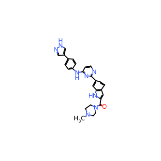 CN1CCN(C(=O)c2cc3ccc(-c4nccc(Nc5ccc(-c6cn[nH]c6)cc5)n4)cc3[nH]2)CC1